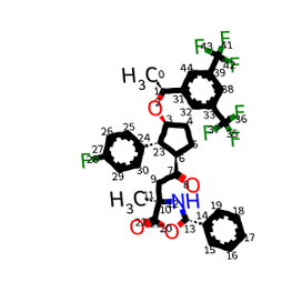 C[C@@H](O[C@H]1CC[C@@H](C(=O)C[C@@]2(C)N[C@H](c3ccccc3)OC2=O)[C@@H]1c1ccc(F)cc1)c1cc(C(F)(F)F)cc(C(F)(F)F)c1